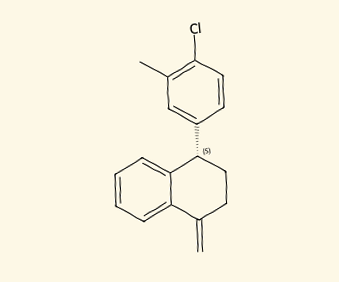 C=C1CC[C@@H](c2ccc(Cl)c(C)c2)c2ccccc21